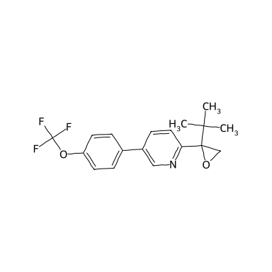 CC(C)(C)C1(c2ccc(-c3ccc(OC(F)(F)F)cc3)cn2)CO1